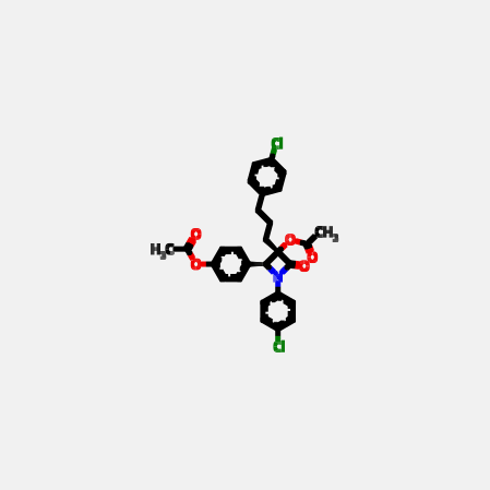 CC(=O)Oc1ccc([C@@H]2N(c3ccc(Cl)cc3)C(=O)[C@@]2(CCCc2ccc(Cl)cc2)OC(C)=O)cc1